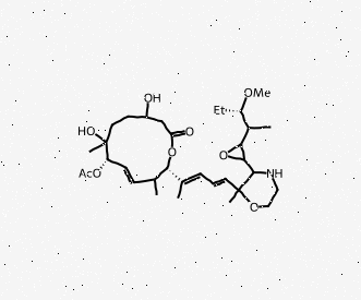 CC[C@H](OC)C(C)C1OC1C1NCCOC1(C)/C=C/C=C(\C)[C@H]1OC(=O)CC(O)CCC(C)(O)[C@@H](OC(C)=O)/C=C/C1C